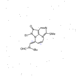 C/C=C\C(=C/N(C=O)C(C)(C)C)n1c2nc(SC)ncc2c(=O)n1CC